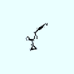 [CH2]C#CCOC(=O)C1CC1